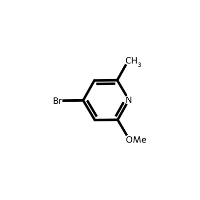 COc1cc(Br)cc(C)n1